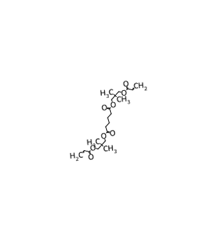 C=CC(=O)OCC(C)(C)COC(=O)CCCCC(=O)OCC(C)(C)COC(=O)C=C